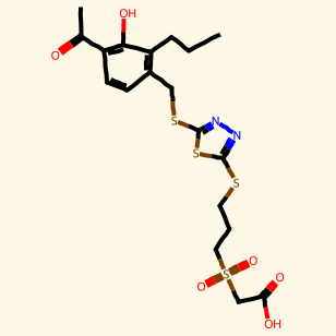 CCCc1c(CSc2nnc(SCCCS(=O)(=O)CC(=O)O)s2)ccc(C(C)=O)c1O